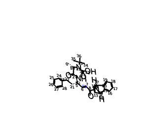 C[C@@H](C(=O)N[C@H](/C=C/C(=O)N1[C@@H]2CC[C@H]1c1ccccc12)CCc1ccccc1)N(C(=O)O)C(C)(C)C